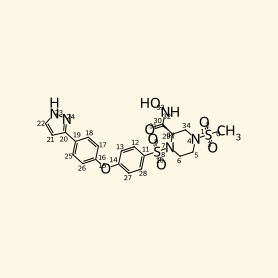 CS(=O)(=O)N1CCN(S(=O)(=O)c2ccc(Oc3ccc(-c4cc[nH]n4)cc3)cc2)[C@@H](C(=O)NO)C1